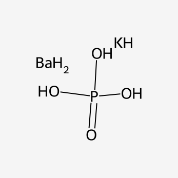 O=P(O)(O)O.[BaH2].[KH]